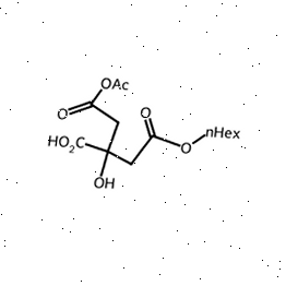 CCCCCCOC(=O)CC(O)(CC(=O)OC(C)=O)C(=O)O